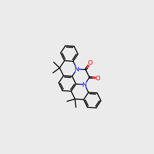 CC1(C)c2ccccc2-n2c(=O)c(=O)n3c4c(ccc1c42)C(C)(C)c1ccccc1-3